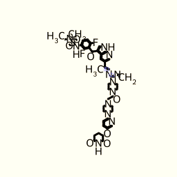 C=N/C(=N\C=C(/C)c1cnc2[nH]cc(C(=O)c3c(F)ccc(NS(=O)(=O)N(C)CC)c3F)c2c1)N1CCN(C(=O)CN2CCN(c3ccc(OC4CCC(=O)NC4=O)cn3)CC2)CC1